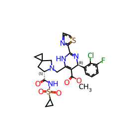 COC(=O)C1=C(CN2CC3(CC3)C[C@H]2C(=O)NS(=O)(=O)C2CC2)NC(c2nccs2)=N[C@H]1c1cccc(F)c1Cl